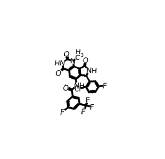 Cn1c(=O)[nH]c(=O)c2cc(NC(=O)c3cc(F)cc(C(F)(F)F)c3)c3c(c21)C(=O)NC3c1cc(F)ccc1Cl